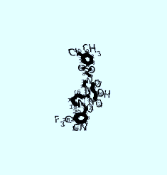 Cc1ccc(S(=O)(=O)CCN2CCn3c([C@@H]4CCCN4C(=O)c4ccc(C#N)c(C(F)(F)F)c4)nc(=O)c(O)c3C2=O)cc1Cl